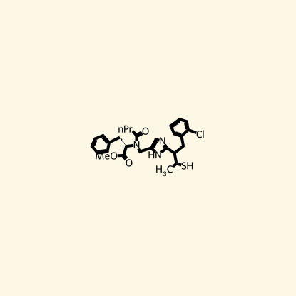 CCCC(=O)N(Cc1cnc(C(Cc2ccccc2Cl)C(C)S)[nH]1)[C@@H](Cc1ccccc1)C(=O)OC